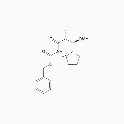 CO[C@@H]([C@@H]1CCCN1)[C@@H](C)C(=O)NC(=O)OCc1ccccc1